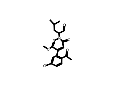 COc1nn(C(C=O)CC(C)C)c(=O)cc1-c1cc(Cl)ccc1C(C)=O